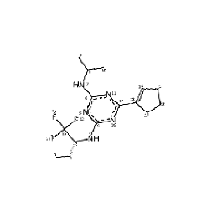 CC[C@@H](Nc1nc(NC(C)C)nc(C2=CCCC2)n1)C(F)(F)F